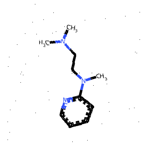 CN(C)CCN(C)c1ccccn1